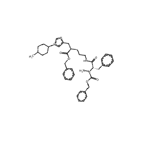 CC1CCC(n2cnc(CC(CCCNC(=O)[C@H](Cc3ccccc3)N(N)C(=O)OCc3ccccc3)C(=O)OCc3ccccc3)c2)CC1